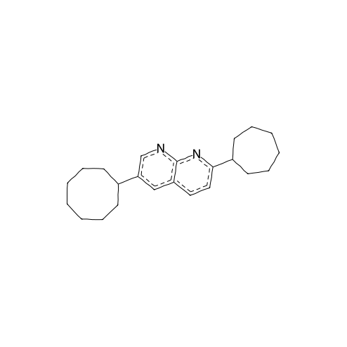 c1nc2nc(C3CCCCCC3)ccc2cc1C1CCCCCCC1